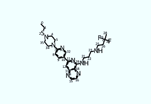 CCSN1CCN(c2ccc(-c3cc4nccnc4c(NCCCNCCC(C)(F)F)n3)cn2)CC1